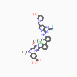 COc1nc(-c2cccc(-c3cccc(Nc4nc(C(F)F)nc5cc(CN6CCC[C@H](O)C6)cnc45)c3C)c2Cl)cnc1CN(C)C1CCC(C(=O)O)CC1